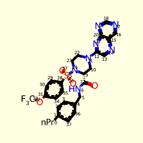 CCCc1ccc(CNC(=O)[C@H]2CN(c3cnc4cncnc4n3)CCN2S(=O)(=O)c2ccc(OC(F)(F)F)cc2)cc1